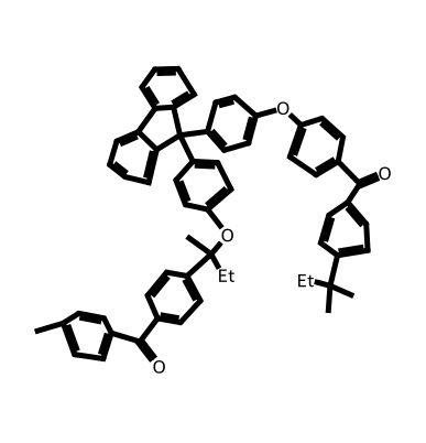 CCC(C)(C)c1ccc(C(=O)c2ccc(Oc3ccc(C4(c5ccc(OC(C)(CC)c6ccc(C(=O)c7ccc(C)cc7)cc6)cc5)c5ccccc5-c5ccccc54)cc3)cc2)cc1